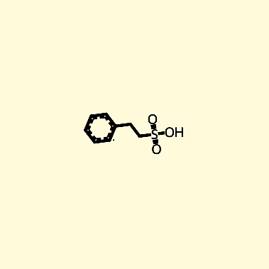 O=S(=O)(O)CCc1[c]cccc1